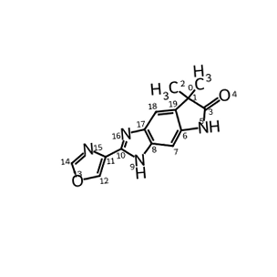 CC1(C)C(=O)Nc2cc3[nH]c(-c4cocn4)nc3cc21